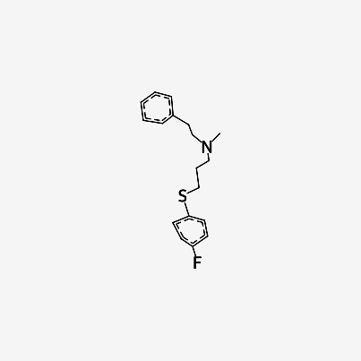 CN(CCCSc1ccc(F)cc1)CCc1ccccc1